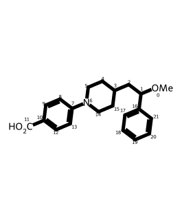 COC(CC1CCN(c2ccc(C(=O)O)cc2)CC1)c1ccccc1